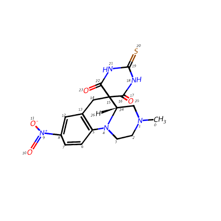 CN1CCN2c3ccc([N+](=O)[O-])cc3CC3(C(=O)NC(=S)NC3=O)[C@@H]2C1